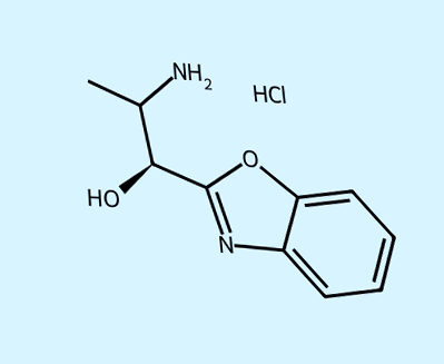 CC(N)[C@H](O)c1nc2ccccc2o1.Cl